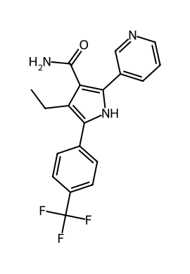 CCc1c(-c2ccc(C(F)(F)F)cc2)[nH]c(-c2cccnc2)c1C(N)=O